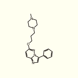 CN1CCN(CCCOc2ccc3ncc(-c4ccccc4)n3n2)CC1